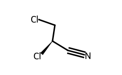 N#C[C@@H](Cl)CCl